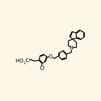 O=C(O)CCc1ccc(OCc2ccc(CN3CCC4(C=Cc5ccccc54)CC3)cc2)cc1Cl